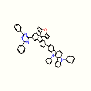 c1ccc(-c2nc(-c3ccccc3)nc(-c3ccc4c(c3)-c3ccc(-c5ccc6c7ccc8c(c9ccccc9n8-c8ccccc8)c7n(-c7ccccc7)c6c5)cc3C43c4ccccc4Oc4ccccc43)n2)cc1